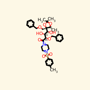 Cc1ccc(S(=O)(=O)N2CCN(C(=O)[C@H](OCc3ccccc3)[C@@H](O)[C@H](O)[C@]3(COCc4ccccc4)OC(C)(C)O[C@@H]3C)CC2)cc1